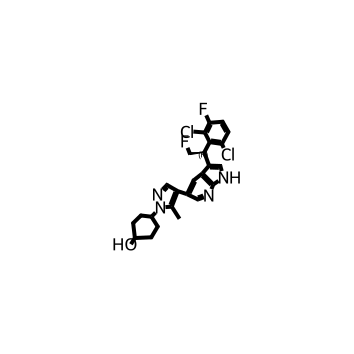 Cc1c(-c2cnc3[nH]cc([C@@H](CF)c4c(Cl)ccc(F)c4Cl)c3c2)cnn1C1CCC(O)CC1